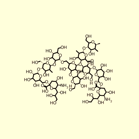 CC1C(O)[C@H](O[C@@H]2OC(CO[C@H]3OC(CO)[C@@H](O)C(O)C3O[C@@H]3O[C@@H](CO)[C@@H](O[C@@H]4OC(CO[C@]5(C(=O)O)C[C@@H](O)[C@@H](N)C([C@H](O)C(O)CO)O5)[C@H](O)C(O)[C@@H]4O)C(O)C3C)[C@@H](O)C(O[C@H]3O[C@H](CO)[C@@H](O)C(O)C3O[C@@H]3OC(CO)[C@@H](O[C@@H]4OC(CO[C@]5(C(=O)O)C[C@@H](O)[C@@H](N)C([C@H](O)C(O)CO)O5)C(O)[C@@H](O)[C@@H]4O)C(O)[C@@H]3C)C2O)C(CO)O[C@H]1O[C@@H]1C(CO)O[C@@H](C)C(C)[C@H]1O